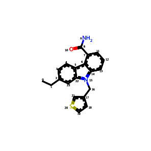 CCc1c[c]c2c3c(C(N)=O)cccc3n(Cc3ccsc3)c2c1